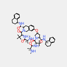 CN[C@@H](C)C(=O)N[C@H](C(=O)N1Cc2cc(O[C@H]3C[C@@H](C(=O)N[C@@H]4CCCc5ccccc54)N(C(=O)[C@@H](NC(=O)[C@H](C)NC)C(C)(C)C)C3)ccc2C[C@H]1C(=O)N[C@@H]1CCCc2ccccc21)C(C)(C)C